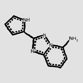 Nc1cccc2nc(-c3ccc[nH]3)nn12